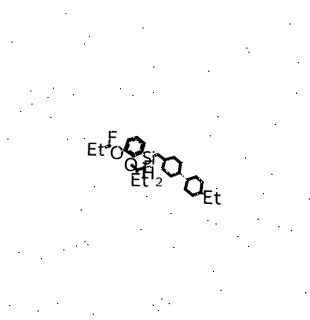 CCC(F)Oc1cccc([SiH2]CC2CCC([C@H]3CC[C@H](CC)CC3)CC2)c1OC(F)CC